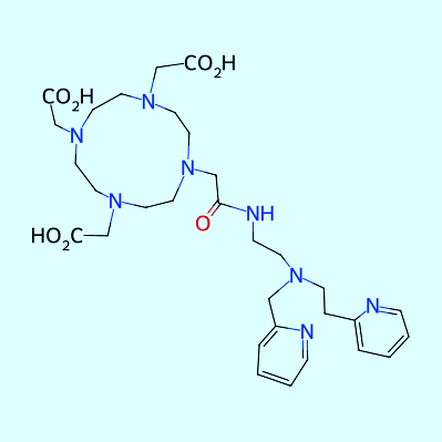 O=C(O)CN1CCN(CC(=O)O)CCN(CC(=O)NCCN(CCc2ccccn2)Cc2ccccn2)CCN(CC(=O)O)CC1